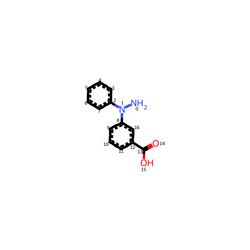 NN(c1ccccc1)c1cccc(C(=O)O)c1